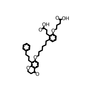 O=C(O)CCCOc1cccc(CCCCCCOc2ccc3c(c2CCCc2ccccc2)OCCC3=O)c1CCC(=O)O